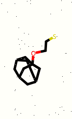 [S]CCOC12CC3CC(CC(C3)C1)C2